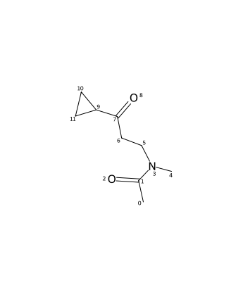 CC(=O)N(C)CCC(=O)C1CC1